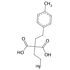 Cc1ccc(CCC(CC[18F])(C(=O)O)C(=O)O)cc1